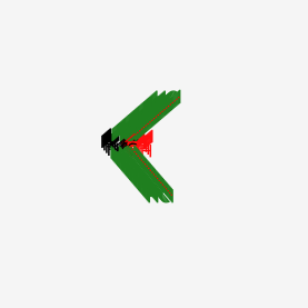 CO.CO.CO.CO.CO.CO.CO.CO.CO.CO.CO.CO.Cl.Cl.Cl.Cl.Cl.Cl.Cl.Cl.Cl.Cl.Cl.Cl.Cl.Cl.Cl.Cl.Cl.Cl.Cl.Cl.Cl.Cl.Cl.Cl.Cl.Cl.Cl.Cl.Cl.Cl.Cl.Cl.Cl.Cl.Cl.Cl.Cl.Cl.Cl.Cl.Cl.Cl.Cl.Cl.Cl.Cl.Cl.Cl.Cl.Cl.Cl.Cl.Cl.Cl.Cl.Cl.Cl.Cl.Cl.Cl.Cl.Cl.Cl.Cl.Cl.Cl.Cl.Cl.Cl.Cl.Cl.Cl.Cl.Cl.Cl.Cl.Cl.Cl.Cl.Cl.Cl.Cl.Cl.Cl.Cl.Cl.Cl.Cl